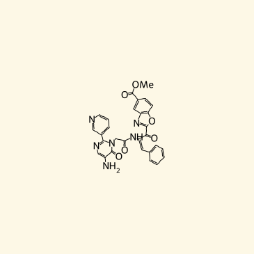 COC(=O)c1ccc2oc(C(=O)C(=Cc3ccccc3)NC(=O)Cn3c(-c4cccnc4)ncc(N)c3=O)nc2c1